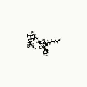 CCCCCCCn1nc(-c2ccccc2)c(=O)n(CCCCc2cc(F)c(F)c(OC(C)(C)C(=O)OCC)c2)c1=O